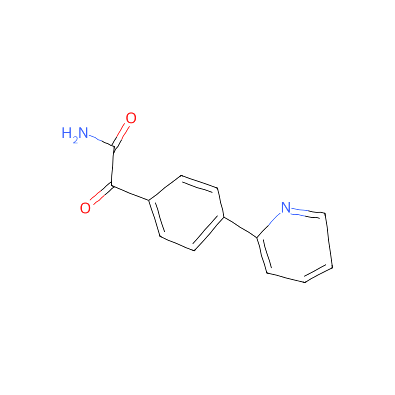 NC(=O)C(=O)c1ccc(-c2ccccn2)cc1